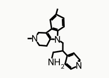 Cc1ccc2c(c1)c1c(n2CC(CN)c2ccncc2)CCN(C)C1